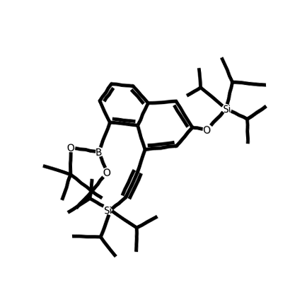 CC(C)[Si](C#Cc1cc(O[Si](C(C)C)(C(C)C)C(C)C)cc2cccc(B3OC(C)(C)C(C)(C)O3)c12)(C(C)C)C(C)C